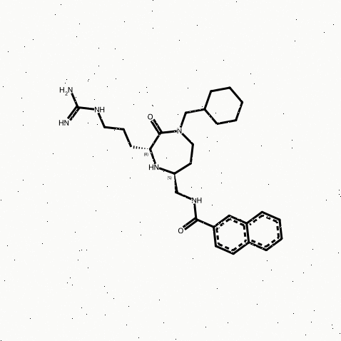 N=C(N)NCCC[C@H]1N[C@H](CNC(=O)c2ccc3ccccc3c2)CCN(CC2CCCCC2)C1=O